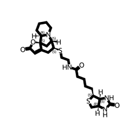 O=C(CCCC[C@@H]1SC[C@@H]2NC(=O)N[C@@H]21)NCCS[C@H]1CC2=CC(=O)O[C@@]23C[C@@H]1N1CCCC[C@@H]13